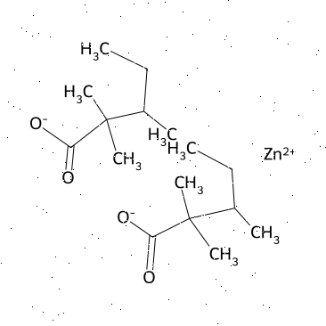 CCC(C)C(C)(C)C(=O)[O-].CCC(C)C(C)(C)C(=O)[O-].[Zn+2]